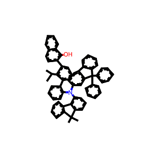 CC(C)c1c(-c2ccccc2N(c2ccc3c(c2)C(c2ccccc2)(c2ccccc2)c2ccccc2-3)c2cccc3c2-c2ccccc2C3(C)C)cccc1-c1ccc2ccccc2c1O